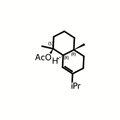 CC(=O)O[C@@]1(C)CCC[C@]2(C)CCC(C(C)C)=C[C@H]21